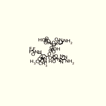 CC(C)(C)OC(=O)NC(CCCCNC(=O)C(F)(F)F)C(=O)O[C@H]1[C@@H](O)[C@H](n2cnc3c(N)ncnc32)O[C@H]1COP(=O)(O)O[C@H]1C[C@H](n2ccc(N)nc2=O)O[C@@H]1COP(=O)(O)O